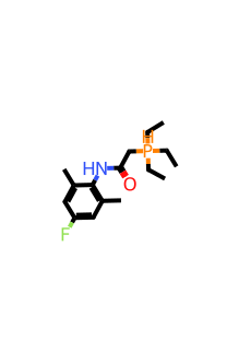 CC[PH](CC)(CC)CC(=O)Nc1c(C)cc(F)cc1C